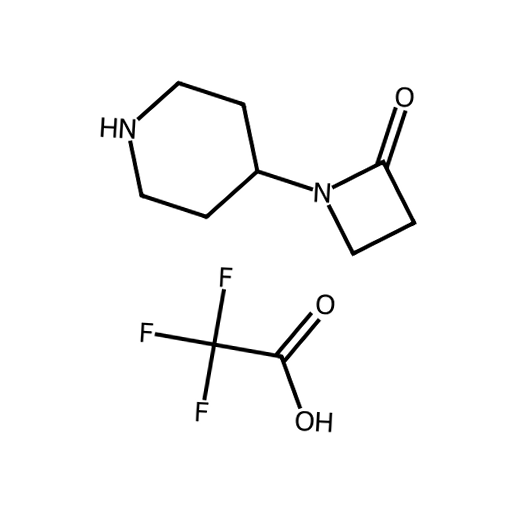 O=C(O)C(F)(F)F.O=C1CCN1C1CCNCC1